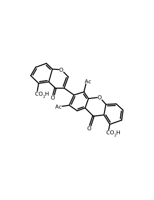 CC(=O)c1cc2c(=O)c3c(C(=O)O)cccc3oc2c(C(C)=O)c1-c1coc2cccc(C(=O)O)c2c1=O